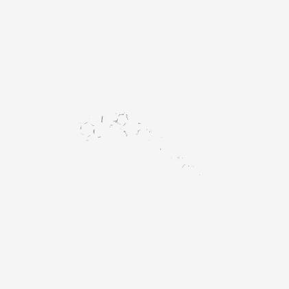 CC(C)(C)ONC(=O)NCCCCCNC(=O)Oc1n[nH]c(NC(=O)c2ccccc2Cl)c1Br